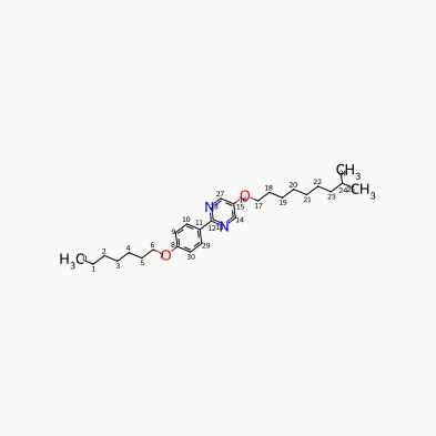 CCCCCCCOc1ccc(-c2ncc(OCCCCCCCC(C)C)cn2)cc1